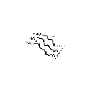 O=C(O)CCCCC(=O)O.O=C(O)CCCCC(=O)O.O=C(O)CCCCC(=O)O.[Y]